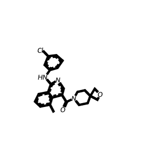 Cc1cccc2c(Nc3cccc(Cl)c3)ncc(C(=O)N3CCC4(CC3)COC4)c12